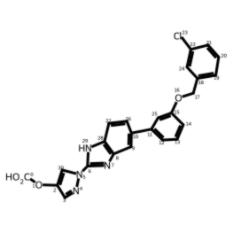 O=C(O)Oc1cnn(-c2nc3cc(-c4cccc(OCc5cccc(Cl)c5)c4)ccc3[nH]2)c1